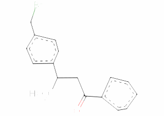 O=C(CC(C(=O)O)c1ccc(CBr)cc1)c1ccccc1